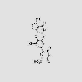 CC1CCc2c(Oc3c(Cl)cc(-n4nc(C(=O)O)c(=O)[nH]c4=O)cc3Cl)c[nH]c(=O)c21